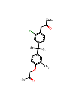 CCC(CC)(c1ccc(OCC(=O)C(C)(C)C)c(C)c1)c1ccc(CC(=O)OC)c(Cl)c1